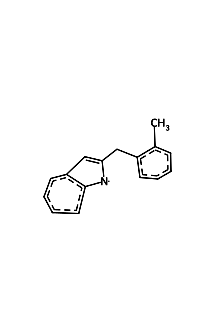 Cc1ccccc1CC1=Cc2ccccc2[N]1